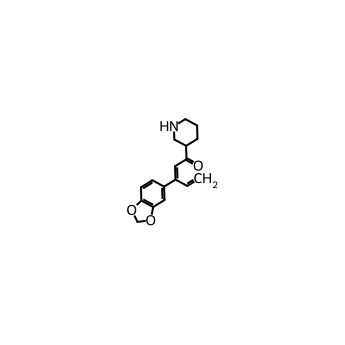 C=CC(=CC(=O)C1CCCNC1)c1ccc2c(c1)OCO2